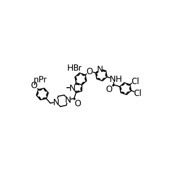 Br.CCCOc1ccc(CN2CCN(C(=O)c3cc4cc(Oc5ccc(NC(=O)c6ccc(Cl)c(Cl)c6)cn5)ccc4n3C)CC2)cc1